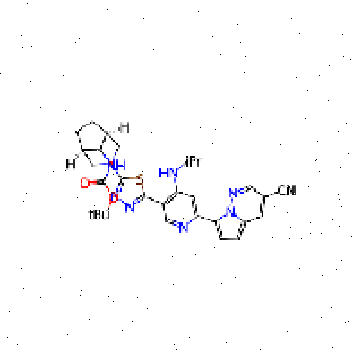 CC(C)Nc1cc(-c2ccc3cc(C#N)cnn23)ncc1-c1nnc(N2C[C@H]3CC[C@@H](C2)C3NC(=O)OC(C)(C)C)s1